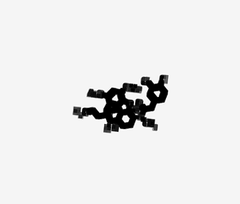 C=CCN1CC[C@]23c4c5c(OC(C)=O)cc(OC)c4O[C@H]2[C@H](N(C)C(=O)Cc2ccc(Cl)c(Cl)c2)CC[C@H]3[C@H]1C5